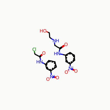 O=C(CCl)Nc1cccc([N+](=O)[O-])c1.O=C(CNCCO)Nc1cccc([N+](=O)[O-])c1